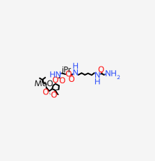 COC1C(OC(=O)N[C@@H](COC(=O)NCCCCCCNC(=O)CN)C(C)C)CC[C@]2(CO2)C1[C@@]1(C)O[C@@H]1CC=C(C)C